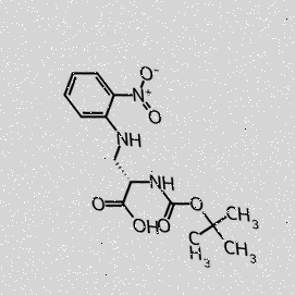 CC(C)(C)OC(=O)N[C@@H](CNc1ccccc1[N+](=O)[O-])C(=O)O